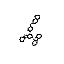 c1ccc2cc(Cc3ccc(-c4cc(-n5c6ccccc6c6ccccc65)cc5c4sc4ccccc45)cc3)ccc2c1